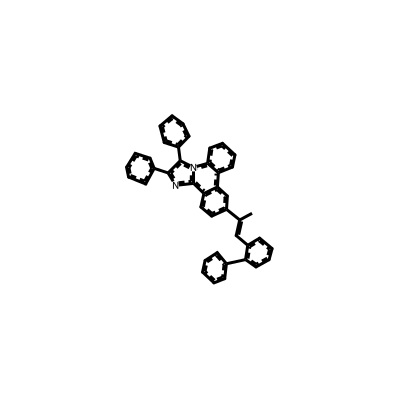 C/C(=C\c1ccccc1-c1ccccc1)c1ccc2c(c1)c1ccccc1n1c(-c3ccccc3)c(-c3ccccc3)nc21